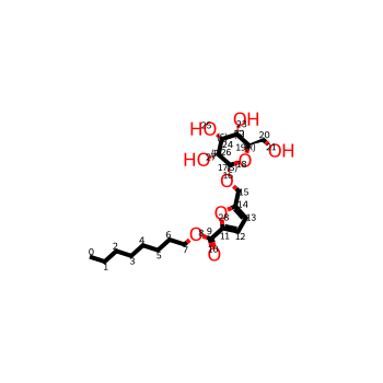 CCCCCCCCOC(=O)c1ccc(CO[C@H]2O[C@H](CO)[C@@H](O)[C@H](O)[C@H]2O)o1